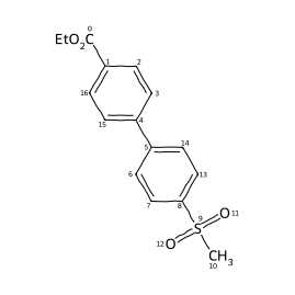 CCOC(=O)c1ccc(-c2ccc(S(C)(=O)=O)cc2)cc1